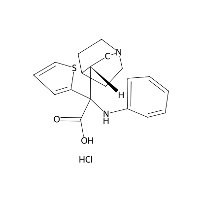 Cl.O=C(O)C(Nc1ccccc1)(c1cccs1)[C@H]1CN2CCC1CC2